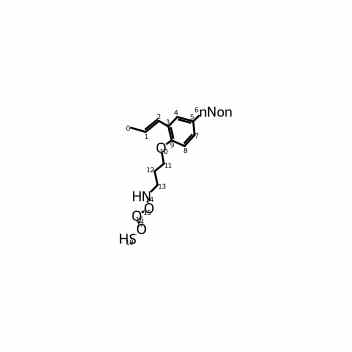 C/C=C/c1cc(CCCCCCCCC)ccc1OCCCNOOOS